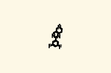 CN1CCc2nc(-c3cc(F)cc(F)c3)ncc2C1